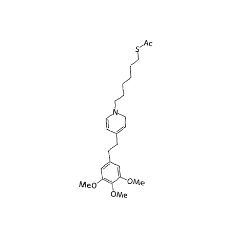 COc1cc(CCC2=CCN(CCCCCCSC(C)=O)C=C2)cc(OC)c1OC